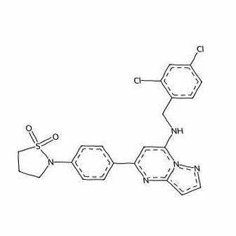 O=S1(=O)CCCN1c1ccc(-c2cc(NCc3ccc(Cl)cc3Cl)n3nccc3n2)cc1